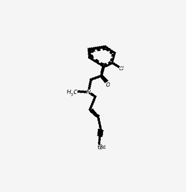 CN(C/C=C/C#CC(C)(C)C)CC(=O)c1ccccc1Cl